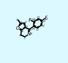 Cc1cc2c(o1)CCN=C2c1ccc(F)cc1F